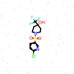 O=S(=O)(c1ccc(Cl)nc1)N1CCC(O)(C(F)(F)F)CC1